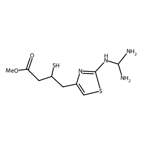 COC(=O)CC(S)Cc1csc(NC(N)N)n1